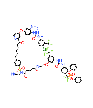 N#CCN(C(=O)CCCC(=O)NCCOc1cc(NC(=O)Nc2ccc(C(F)(F)P(=O)(Oc3ccccc3)Oc3ccccc3)cc2)cc(C(F)(F)F)c1)S(=O)(=O)c1ccc(CCCCCC(=O)c2cc(Oc3ccc(NC(=O)Nc4ccc(Cl)c(C(F)(F)F)c4)c(N)c3)ccn2)cc1